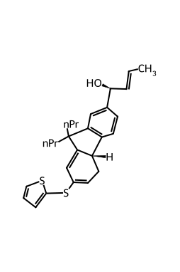 C/C=C/[C@H](O)c1ccc2c(c1)C(CCC)(CCC)C1=CC(Sc3cccs3)=CC[C@H]12